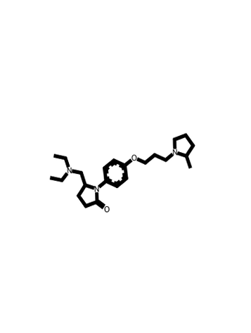 CCN(CC)CC1CCC(=O)N1c1ccc(OCCCN2CCCC2C)cc1